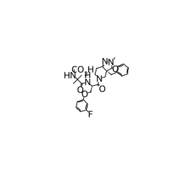 CN1N=C2CCN(C(=O)[C@@H](COc3cccc(F)c3)NC(=O)C(C)(C)NC(=O)O)C[C@@]2(Cc2ccccc2)C1=O